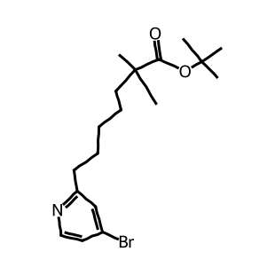 CC(C)(C)OC(=O)C(C)(C)CCCCCc1cc(Br)ccn1